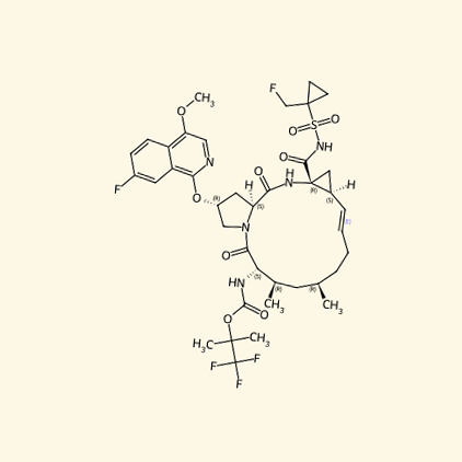 COc1cnc(O[C@@H]2C[C@H]3C(=O)N[C@]4(C(=O)NS(=O)(=O)C5(CF)CC5)C[C@H]4/C=C/CC[C@@H](C)C[C@@H](C)[C@H](NC(=O)OC(C)(C)C(F)(F)F)C(=O)N3C2)c2cc(F)ccc12